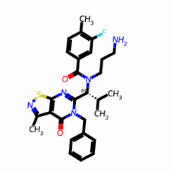 Cc1ccc(C(=O)N(CCCN)[C@@H](c2nc3snc(C)c3c(=O)n2Cc2ccccc2)C(C)C)cc1F